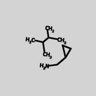 CC(C)C(C)C.NCC1CC1